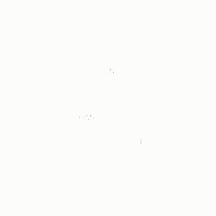 COc1cccc(C#N)c1CCCCC(F)(F)F